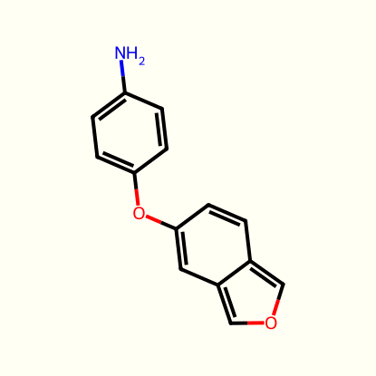 Nc1ccc(Oc2ccc3cocc3c2)cc1